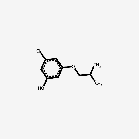 CC(C)COc1cc(O)cc(Cl)c1